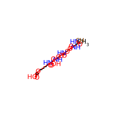 CC(=O)C(CCCCNC(=O)COCCOCCNC(=O)COCCOCCNC(=O)CCC(NC(=O)CCCCCCCCCCOc1ccc(C(=O)O)cc1)C(=O)O)NS